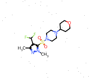 Cc1nn(C)c(S(=O)(=O)N2CCN(C3CCOCC3)CC2)c1C(F)F